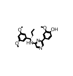 CCC[C@H](Nc1cncc(-c2ccc(O)c(OC)c2)n1)c1cc(OC)cc(OC)c1